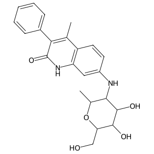 Cc1c(-c2ccccc2)c(=O)[nH]c2cc(NC3C(C)OC(CO)C(O)C3O)ccc12